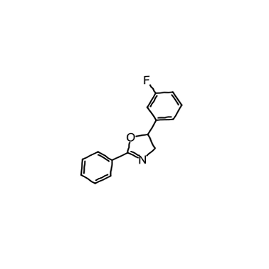 Fc1cccc(C2CN=C(c3ccccc3)O2)c1